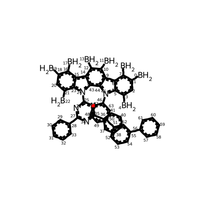 Bc1cc(B)c2c(c1B)c1c(B)c(B)c3c4c(B)c(B)cc(B)c4n(-c4nc(-c5ccccc5)nc(-c5ccccc5)n4)c3c1n2-c1cccc(-c2cccc(-c3ccccc3)c2)c1